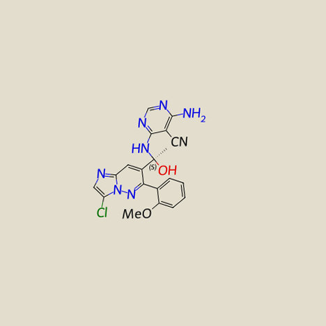 COc1ccccc1-c1nn2c(Cl)cnc2cc1[C@](C)(O)Nc1ncnc(N)c1C#N